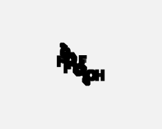 C=CC(O)c1ccc(-c2ccc(OCC)c(F)c2F)c(F)c1